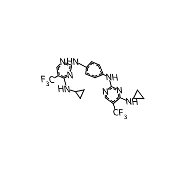 FC(F)(F)c1cnc(Nc2ccc(Nc3ncc(C(F)(F)F)c(NC4CC4)n3)cc2)nc1NC1CC1